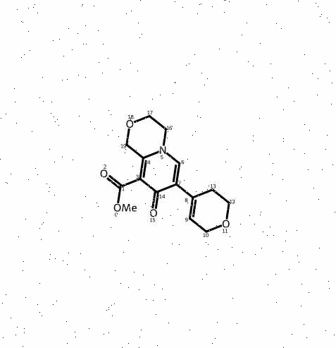 COC(=O)c1c2n(cc(C3=CCOCC3)c1=O)CCOC2